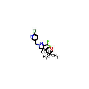 CC1(C)COC=C(C2(C(=O)O)CN(Cc3ccc(Cl)nc3)N=C2C(F)F)C1